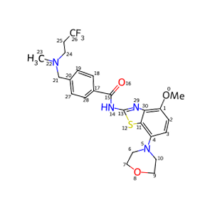 COc1ccc(N2CCOCC2)c2sc(NC(=O)c3ccc(CN(C)CCC(F)(F)F)cc3)nc12